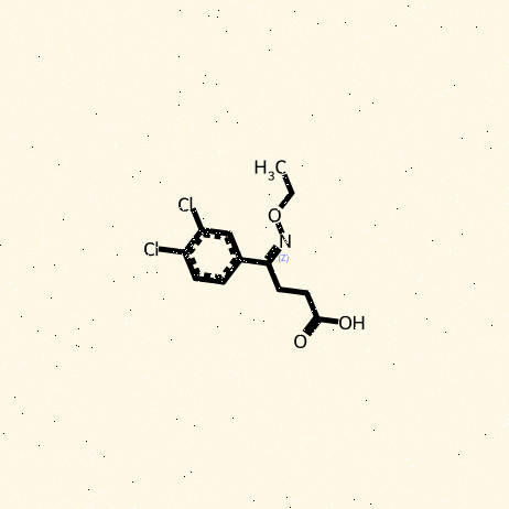 CCO/N=C(/CCC(=O)O)c1ccc(Cl)c(Cl)c1